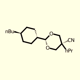 CCCC[C@H]1CC[C@H]([C@H]2OC[C@](C#N)(CCC)CO2)CC1